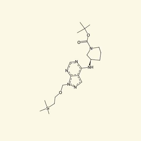 CC(C)(C)OC(=O)N1CCC[C@@H](Nc2ncnc3c2cnn3COCC[Si](C)(C)C)C1